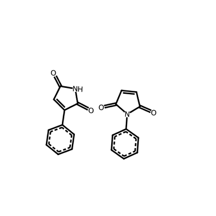 O=C1C=C(c2ccccc2)C(=O)N1.O=C1C=CC(=O)N1c1ccccc1